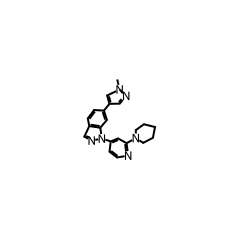 Cn1cc(-c2ccc3cnn(-c4ccnc(N5CCCCC5)c4)c3c2)cn1